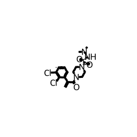 C=C(C(=O)N1CCN(S(=O)(=O)NN(C)C)CC1)c1cc[c]c(Cl)c1Cl